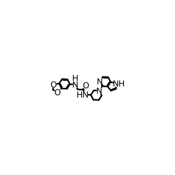 O=C(CNc1ccc2c(c1)OCO2)NC1CCCN(c2nccc3[nH]ccc23)C1